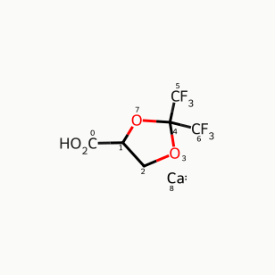 O=C(O)C1COC(C(F)(F)F)(C(F)(F)F)O1.[Ca]